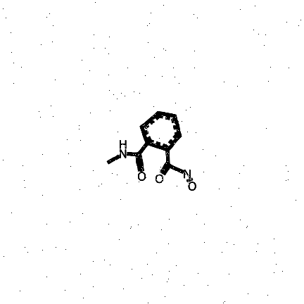 CNC(=O)c1ccccc1C(=O)N=O